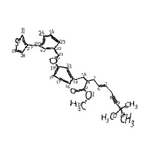 COC(=O)C(CC=CC#CC(C)(C)C)Cc1cccc(OCc2cccc(-c3ccsc3)c2)c1